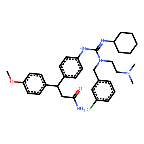 COc1ccc(C(CC(N)=O)c2ccc(N/C(=N/C3CCCCC3)N(CCN(C)C)Cc3cccc(Cl)c3)cc2)cc1